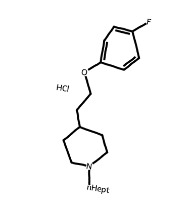 CCCCCCCN1CCC(CCOc2ccc(F)cc2)CC1.Cl